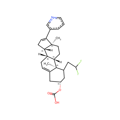 C[C@]12CC[C@H]3[C@H](CC=C4C[C@@H](OC(=O)O)CC(CC(F)F)[C@@]43C)[C@@H]1CC=C2c1cccnc1